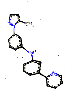 Cc1ccnn1-c1cccc(Nc2cccc(-c3ccccn3)c2)c1